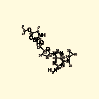 CC(C)OC(=O)[C@H](C)N[PH](=O)OC[C@@H]1CC[C@H](n2cnc3c(N(C)C4CC4)nc(N)nc32)O1